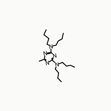 CCCCN(CCCC)c1nc(C)nc(N(CCCC)CCCC)n1